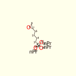 CCCO[Si](CCCCC1CO1)(OCCC)OCCC